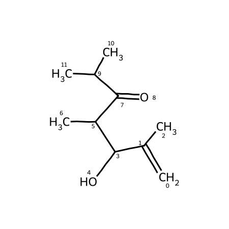 C=C(C)C(O)C(C)C(=O)C(C)C